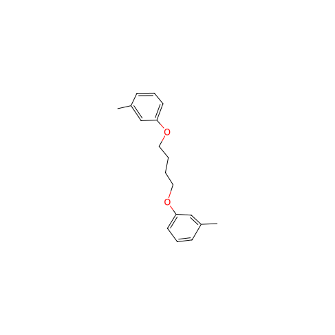 Cc1cccc(OCCCCOc2cccc(C)c2)c1